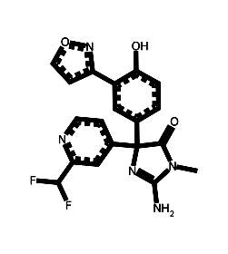 CN1C(=O)C(c2ccnc(C(F)F)c2)(c2ccc(O)c(-c3ccon3)c2)N=C1N